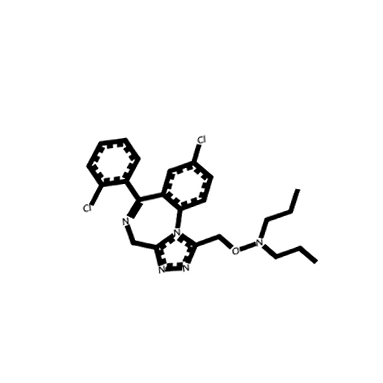 CCCN(CCC)OCc1nnc2n1-c1ccc(Cl)cc1C(c1ccccc1Cl)=NC2